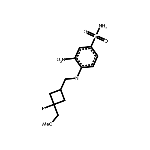 COCC1(F)CC(CNc2ccc(S(N)(=O)=O)cc2[N+](=O)[O-])C1